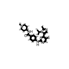 Cc1ncc(-c2nc(Nc3ccc(C(=O)NC4CCN(C)CC4)cc3)ncc2F)n1C(C)C